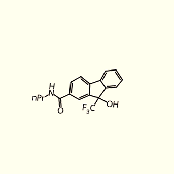 CCCNC(=O)c1ccc2c(c1)C(O)(C(F)(F)F)c1ccccc1-2